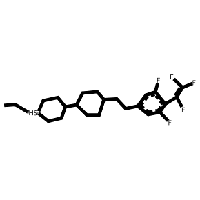 CCC[SiH]1CCC(C2CCC(CCc3cc(F)c(C(F)=C(F)F)c(F)c3)CC2)CC1